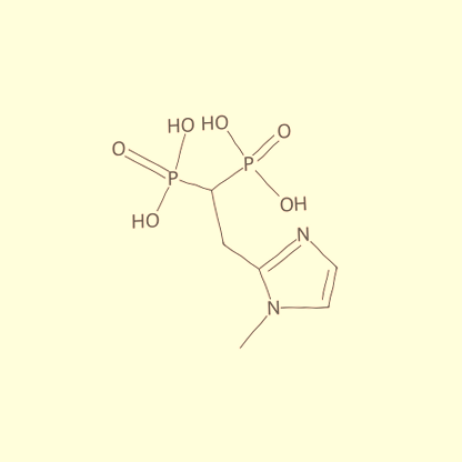 Cn1ccnc1CC(P(=O)(O)O)P(=O)(O)O